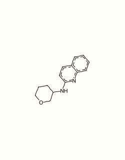 c1ccc2nc(NC3CCCOC3)ccc2c1